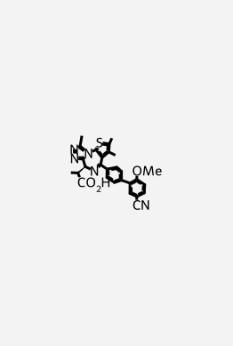 COc1ccc(C#N)cc1-c1ccc(C2=N[C@@H](C(C)C(=O)O)c3nnc(C)n3-c3sc(C)c(C)c32)cc1